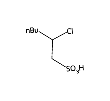 CCCCC(Cl)CS(=O)(=O)O